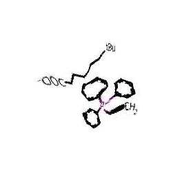 C=C[P+](c1ccccc1)(c1ccccc1)c1ccccc1.CC(C)(C)CCCCCC(=O)[O-]